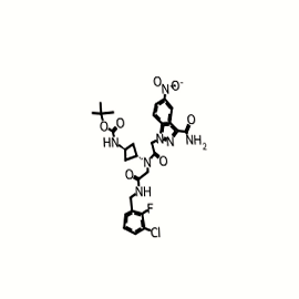 CC(C)(C)OC(=O)N[C@H]1C[C@H](N(CC(=O)NCc2cccc(Cl)c2F)C(=O)Cn2nc(C(N)=O)c3cc([N+](=O)[O-])ccc32)C1